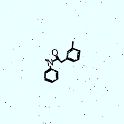 Cc1cccc(CC(=O)N(C)c2ccccc2)c1